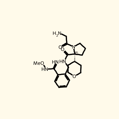 CONC(=N)c1ccccc1CNC(=O)[C@]1(C2CCOCC2)CCCN1C(=O)CN